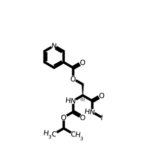 CC(C)OC(=O)N[C@@H](COC(=O)c1cccnc1)C(=O)NI